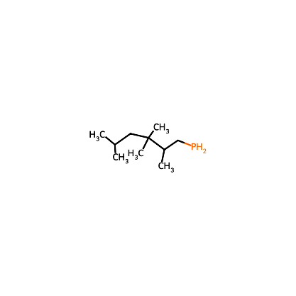 CC(C)CC(C)(C)C(C)CP